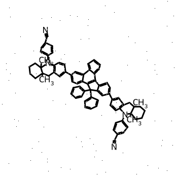 CC12CCCCC1(C)N(c1ccc(C#N)cc1)c1ccc(-c3ccc4c(c3)C(c3ccccc3)(c3ccccc3)c3c-4c4ccccc4c4cc(-c5ccc6c(c5)CC5(C)CCCCC5(C)N6c5ccc(C#N)cc5)ccc34)cc1C2